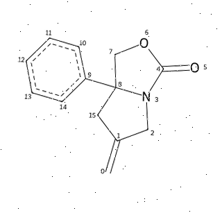 C=C1CN2C(=O)OCC2(c2ccccc2)C1